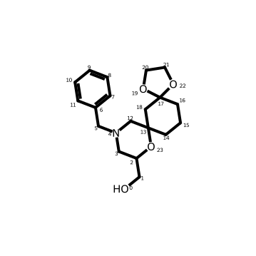 OCC1CN(Cc2ccccc2)CC2(CCCC3(C2)OCCO3)O1